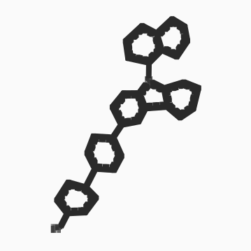 CC(C)c1ccc(-c2ccc(-c3ccc4c(c3)c3ccccc3n4-c3cccc4ccccc34)cc2)cc1